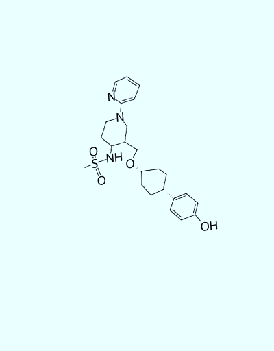 CS(=O)(=O)NC1CCN(c2ccccn2)CC1CO[C@H]1CC[C@@H](c2ccc(O)cc2)CC1